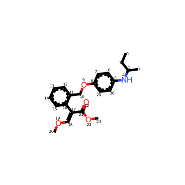 CCC(C)Nc1ccc(OCc2ccccc2/C(=C\OC)C(=O)OC)cc1